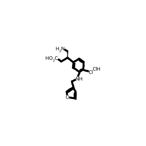 Cl.NC[C@H](CC(=O)O)c1ccc(Cl)c(NCc2ccoc2)c1